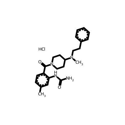 Cc1ccc(C(=O)N2CCC(N(C)CCc3ccccc3)CC2)c(NC(N)=O)c1.Cl